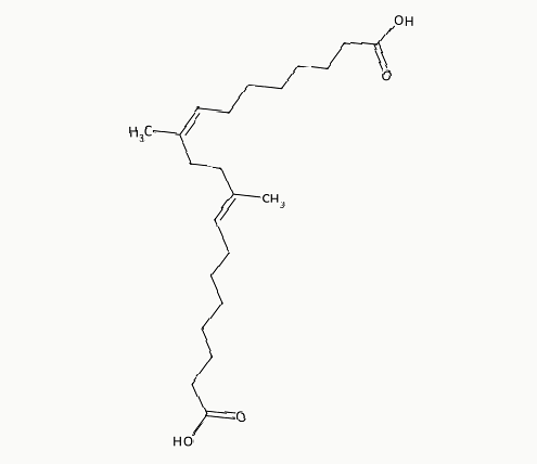 CC(=CCCCCCCC(=O)O)CCC(C)=CCCCCCCC(=O)O